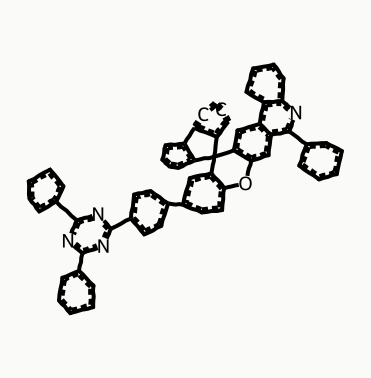 c1ccc(-c2nc(-c3ccccc3)nc(-c3ccc(-c4ccc5c(c4)C4(c6cc7c(cc6O5)c(-c5ccccc5)nc5ccccc57)c5ccccc5-c5ccccc54)cc3)n2)cc1